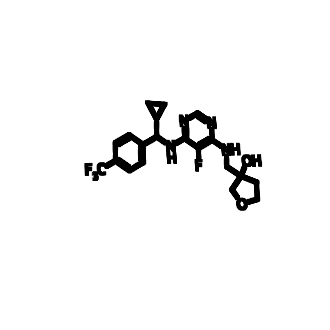 OC1(CNc2ncnc(NC(c3ccc(C(F)(F)F)cc3)C3CC3)c2F)CCOC1